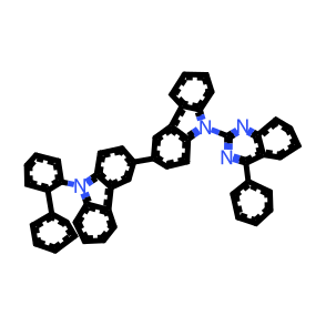 c1ccc(-c2ccccc2-n2c3ccccc3c3cc(-c4ccc5c(c4)c4ccccc4n5-c4nc(-c5ccccc5)c5ccccc5n4)ccc32)cc1